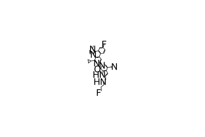 Cn1ccnc1-c1cc(F)ccc1-c1cc(C2CC2)nc(-n2cc(C#N)c3cc(CNCCCF)[nH]c3c2=O)c1